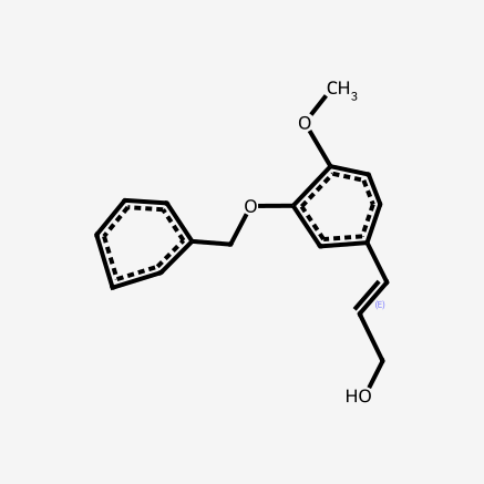 COc1ccc(/C=C/CO)cc1OCc1ccccc1